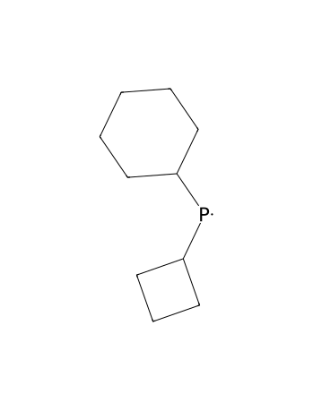 C1CCC([P]C2CCC2)CC1